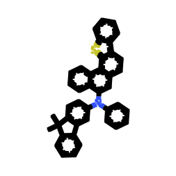 CC1(C)c2ccccc2-c2cc(N(c3ccccc3)c3cc4ccc5c6ccccc6sc5c4c4ccccc34)ccc21